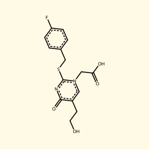 O=C(O)Cn1cc(CCO)c(=O)nc1SCc1ccc(F)cc1